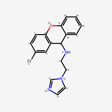 CCc1ccc2c(c1)C(NCCn1ccnc1)c1ccccc1O2